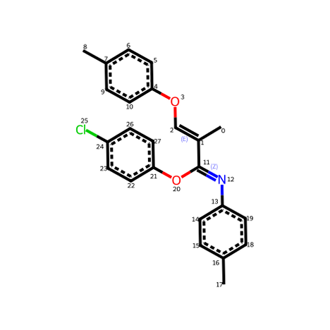 CC(=C\Oc1ccc(C)cc1)/C(=N/c1ccc(C)cc1)Oc1ccc(Cl)cc1